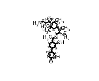 C=N/C(=C\N=C(/C)c1ccc(-c2cnc(=O)[nH]c2)cc1O)N(C)C1CC(C)(C)N(C(=O)CCN)C(C)(C)C1